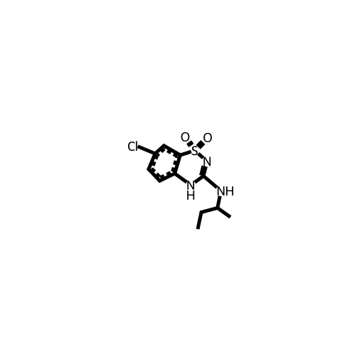 CCC(C)NC1=NS(=O)(=O)c2cc(Cl)ccc2N1